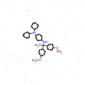 COc1ccc(C(C)(Nc2ccc(N(c3ccccc3)c3ccccc3)cc2)c2ccc(OC)cc2)cc1